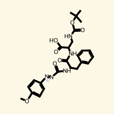 COc1ccc(/N=N/C(=O)NC(Cc2ccccc2)C(=O)NC(CNC(=O)OC(C)(C)C)C(=O)O)cc1